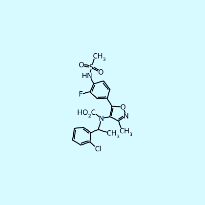 Cc1noc(-c2ccc(NS(C)(=O)=O)c(F)c2)c1N(C(=O)O)C(C)c1ccccc1Cl